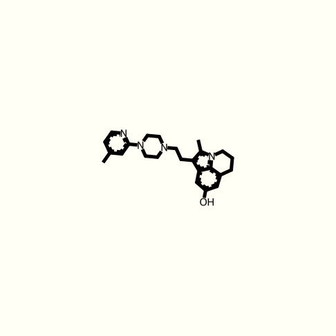 Cc1ccnc(N2CCN(CCc3c(C)n4c5c(cc(O)cc35)CCC4)CC2)c1